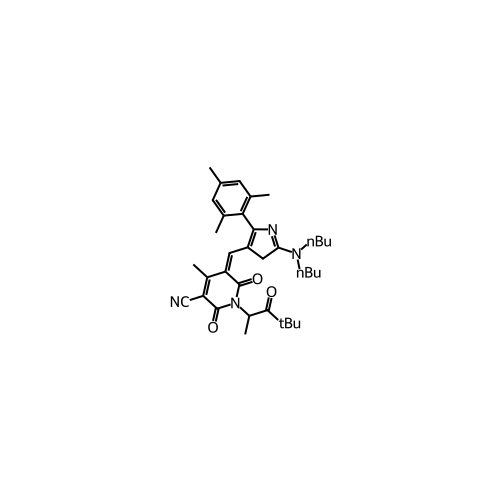 CCCCN(CCCC)C1=NC(c2c(C)cc(C)cc2C)=C(/C=C2\C(=O)N(C(C)C(=O)C(C)(C)C)C(=O)C(C#N)=C2C)C1